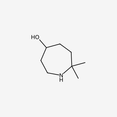 CC1(C)CCC(O)CCN1